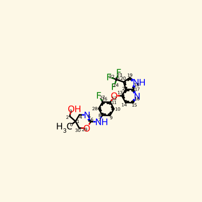 CC1(CO)CN=C(Nc2ccc(Oc3ccnc4[nH]cc(C(F)(F)F)c34)c(F)c2)OC1